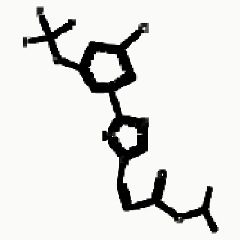 CC(C)OC(=O)/C=C\n1cnc(-c2cc(Cl)cc(OC(F)(F)F)c2)n1